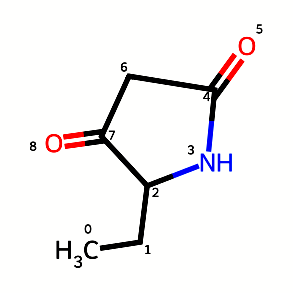 CCC1NC(=O)CC1=O